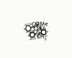 CCOC(OC)C(C)(CC[Si](C)(c1ccccc1)c1ccccc1)C1CCCCC1